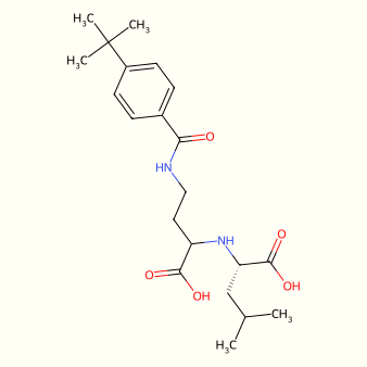 CC(C)C[C@H](NC(CCNC(=O)c1ccc(C(C)(C)C)cc1)C(=O)O)C(=O)O